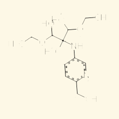 CCOC(O)C(C)(Nc1ccc(CC)nc1)C(O)OCC